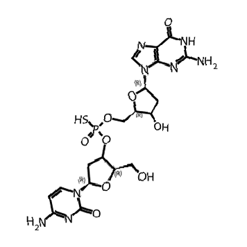 Nc1ccn([C@H]2CC(OP(=O)(S)OC[C@H]3O[C@@H](n4cnc5c(=O)[nH]c(N)nc54)CC3O)[C@@H](CO)O2)c(=O)n1